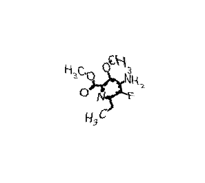 CCc1nc(C(=O)OC)c(OC)c(N)c1F